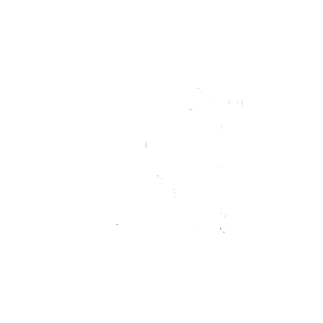 CC(C)c1c(C2CCC(O)(C(=O)O)CC2)c2c(F)c3[nH]ncc3cc2n1-c1ccc(F)c(F)c1